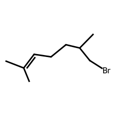 CC(C)=CCCC(C)CBr